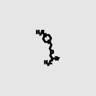 C=C(Br)COCCN1CCN(C)CC1